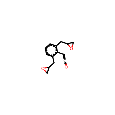 O=C=Cc1c(CC2CO2)cccc1CC1CO1